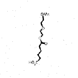 COCCOCCOC(=O)CCCCC(=O)O